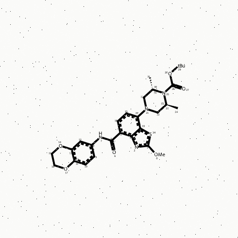 COc1nc2c(C(=O)Nc3ccc4c(c3)OCCO4)ccc(N3C[C@H](C)N(C(=O)OC(C)(C)C)[C@@H](C)C3)c2s1